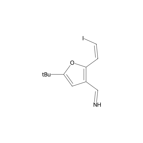 CC(C)(C)c1cc(C=N)c(/C=C\I)o1